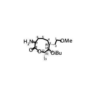 COCC[C@H]1CCC[C@H](N)C(=O)O[C@@H](C)[C@@H]1OCC(C)C